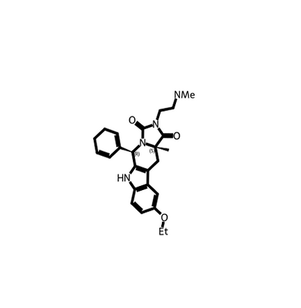 CCOc1ccc2[nH]c3c(c2c1)C[C@@]1(C)C(=O)N(CCNC)C(=O)N1[C@@H]3C1=CCCC=C1